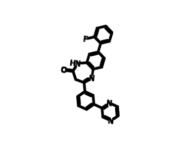 O=C1CC(c2cccc(-c3cnccn3)c2)=Nc2ccc(-c3ccccc3F)cc2N1